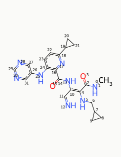 CNC(=O)/C(NCC1CC1)=C(/C=N)NC(=O)c1nc(C2CC2)ccc1Nc1cncnc1